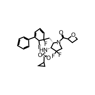 O=C(C1CCO1)N1CC(F)(F)[C@H](NS(=O)(=O)C2CC2)[C@@H]1CC1(F)C=CC=C(c2ccccc2)C1F